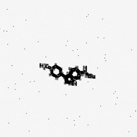 CN1CCC(c2c[nH]c3cc(NC(C)(C)C)ccc23)CC1